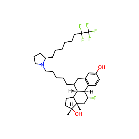 C[C@]12C[C@H](F)[C@@H]3c4ccc(O)cc4CC(CCCCCN4CCC[C@H]4CCCCCCC(F)(F)C(F)(F)F)[C@H]3[C@@H]1CC[C@@]2(C)O